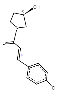 O=C(/C=C/c1ccc(Cl)cc1)N1CC[C@@H](O)C1